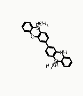 C[Si@@H]1c2ccccc2Nc2cc(-c3ccc4c(c3)Oc3ccccc3[Si@@H]4C)ccc21